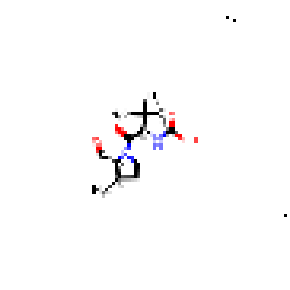 C[C@@H]1CCN(C(=O)[C@@H](NC(=O)O)C(C)(C)C)[C@@H]1C=O